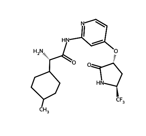 CC1CCC([C@H](N)C(=O)Nc2cc(O[C@@H]3C[C@@H](C(F)(F)F)NC3=O)ccn2)CC1